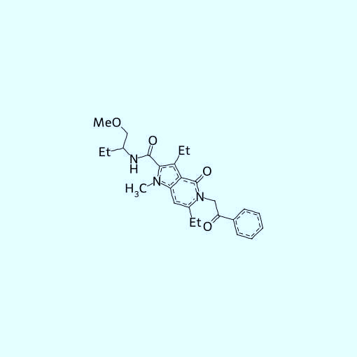 CCc1c(C(=O)NC(CC)COC)n(C)c2cc(CC)n(CC(=O)c3ccccc3)c(=O)c12